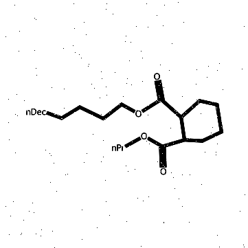 CCCCCCCCCCCCCCOC(=O)C1CCCCC1C(=O)OCCC